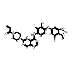 C=CC(=O)N1CCN(c2ncc3ncnc(Nc4ccc(Oc5cc(F)c6c(c5)nnn6C)c(C)c4F)c3n2)CC1